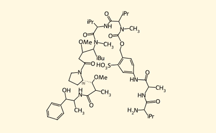 CCC(C)C(C(CC(=O)N1CCC[C@H]1C(OC)C(C)C(=O)NC(C)C(O)c1ccccc1)OC)N(C)C(=O)C(NC(=O)C(C(C)C)N(C)C(=O)OCc1ccc(NC(=O)C(C)NC(=O)C(N)C(C)C)cc1S(=O)(=O)O)C(C)C